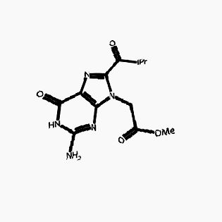 COC(=O)Cn1c(C(=O)C(C)C)nc2c(=O)[nH]c(N)nc21